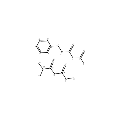 CC(=O)CC(=O)OCc1ccccc1.COC(=O)CC(=O)C(C)C